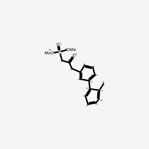 COP(=O)(CC(=O)Cc1cccc(-c2ccccc2C)c1)OC